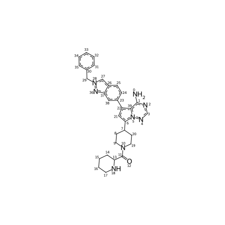 Nc1ncnn2c(C3CCN(C(=O)C4CCCCN4)CC3)cc(-c3ccc4cn(Cc5ccccc5)nc4c3)c12